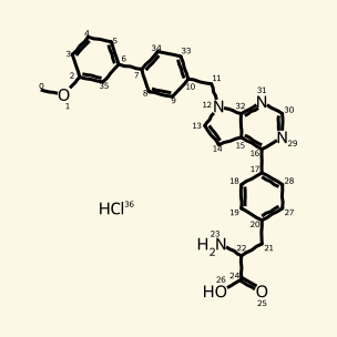 COc1cccc(-c2ccc(Cn3ccc4c(-c5ccc(CC(N)C(=O)O)cc5)ncnc43)cc2)c1.Cl